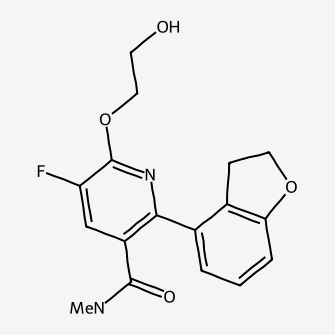 CNC(=O)c1cc(F)c(OCCO)nc1-c1cccc2c1CCO2